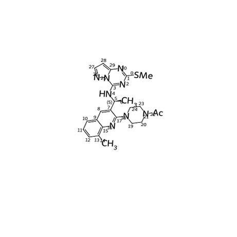 CSc1nc(N[C@@H](C)c2cc3cccc(C)c3nc2N2CCN(C(C)=O)CC2)n2nccc2n1